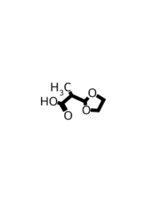 CC(C(=O)O)C1OCCO1